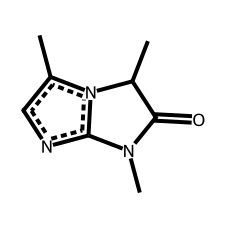 Cc1cnc2n1C(C)C(=O)N2C